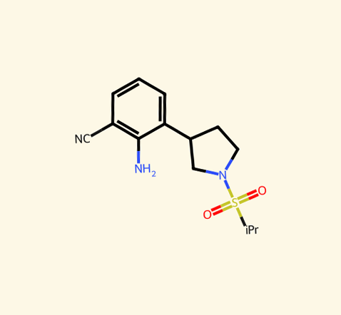 CC(C)S(=O)(=O)N1CCC(c2cccc(C#N)c2N)C1